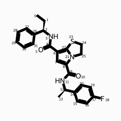 CC[C@@H](NC(=O)c1cc(C(=O)N[C@H](C)c2ccc(F)cc2)n2c1SCC2)c1ccccc1